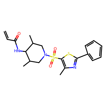 C=CC(=O)NC1C(C)CN(S(=O)(=O)c2sc(-c3ccccc3)nc2C)CC1C